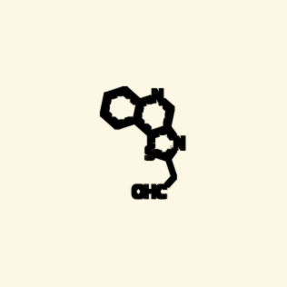 O=CCc1nc2cnc3ccccc3c2s1